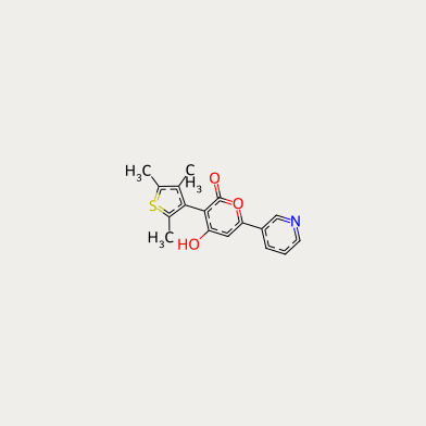 Cc1sc(C)c(-c2c(O)cc(-c3cccnc3)oc2=O)c1C